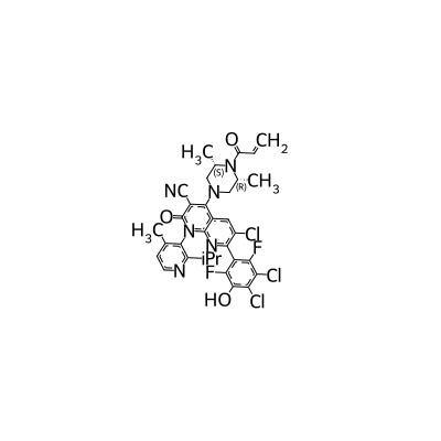 C=CC(=O)N1[C@H](C)CN(c2c(C#N)c(=O)n(-c3c(C)ccnc3C(C)C)c3nc(-c4c(F)c(O)c(Cl)c(Cl)c4F)c(Cl)cc23)C[C@@H]1C